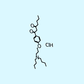 CCCCC(=O)CC(=O)c1ccc(OCCCN(CCCC)CCCC)cc1.Cl